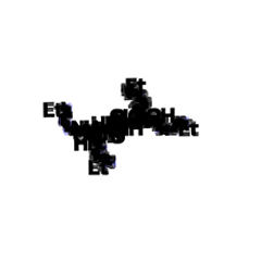 CC/C=C\C/C=C\C/C=C\NC(O)CN(CCCCC1NC(=O)C(CCCCN(CC(O)C(C)/C=C\C/C=C\C/C=C\CC)CC(O)C(C)/C=C\C/C=C\C/C=C\CC)NC1=O)CC(O)N/C=C\C/C=C\C/C=C\CC